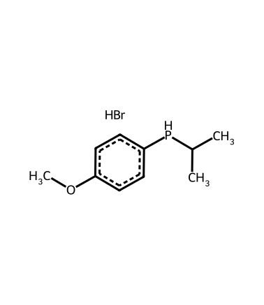 Br.COc1ccc(PC(C)C)cc1